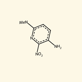 CNc1ccc(N)c([N+](=O)[O-])n1